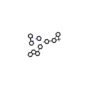 CC1(C)c2ccccc2-c2cc(-c3ccc(N(c4ccc(-c5cccc6c5ccc5ccccc56)cc4)c4cccc(-n5c6ccccc6c6ccccc65)c4)cc3)ccc21